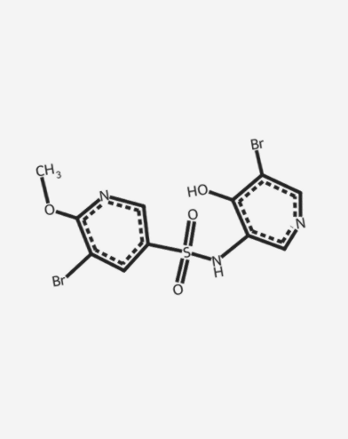 COc1ncc(S(=O)(=O)Nc2cncc(Br)c2O)cc1Br